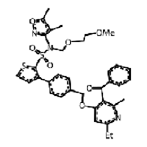 CCc1cc(OCc2ccc(-c3ccsc3S(=O)(=O)N(COCCOC)c3noc(C)c3C)cc2)c(C(=O)c2ccccc2)c(C)n1